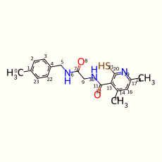 Cc1ccc(CNC(=O)CNC(=O)c2c(C)cc(C)nc2S)cc1